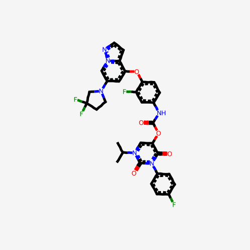 CC(C)n1cc(OC(=O)Nc2ccc(Oc3cc(N4CCC(F)(F)C4)cn4nccc34)c(F)c2)c(=O)n(-c2ccc(F)cc2)c1=O